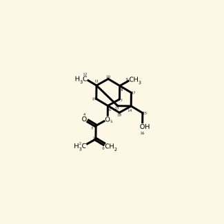 C=C(C)C(=O)OC12CC3(C)CC(C)(CC(CO)(C3)C1)C2